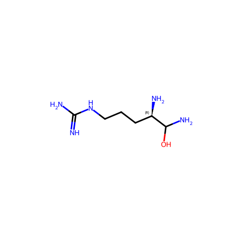 N=C(N)NCCC[C@@H](N)C(N)O